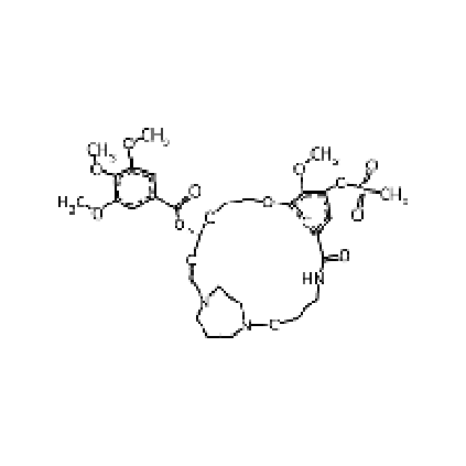 COc1cc(C(=O)O[C@@H]2CCCOc3cc(cc(OS(C)(=O)=O)c3OC)C(=O)NCCCN3CCCN(CC2)CC3)cc(OC)c1OC